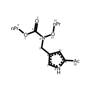 CCCOC(=O)N(Cc1c[nH]c(C(C)=O)c1)OCCC